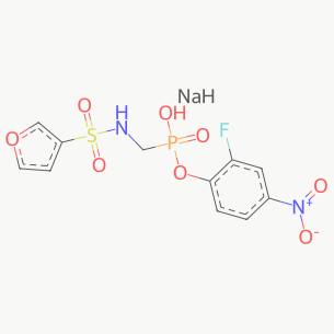 O=[N+]([O-])c1ccc(OP(=O)(O)CNS(=O)(=O)c2ccoc2)c(F)c1.[NaH]